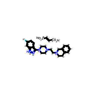 Fc1ccc2c(N3CCN(CCN4CCc5ccccc5C4)CC3)n[nH]c2c1.O=C(O)/C=C/C(=O)O